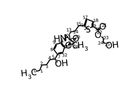 CCCCCC(O)c1ccc(NN(CCCc2ccc(C(=O)OCCO)s2)S(C)(=O)=O)cc1